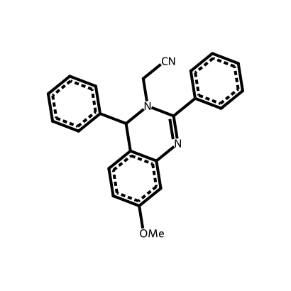 COc1ccc2c(c1)N=C(c1ccccc1)N(CC#N)C2c1ccccc1